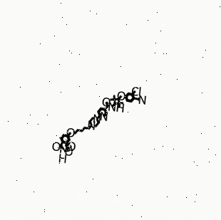 CC1(C)C(NC(=O)c2ccc(N3CCN(CCCCCOc4ccc5c(c4)S(=O)(=O)NC5=O)CC3)nc2)C(C)(C)C1Oc1ccc(C#N)c(Cl)c1